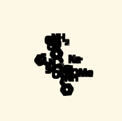 COC(=O)N[C@@H](Cc1ccccc1)C(=O)N[C@@H](Cc1ccc(OS(N)(=O)=O)cc1)c1csc(-c2cccs2)n1.[Na]